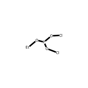 CCOP(OCl)OCl